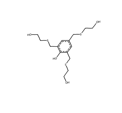 OCCSCc1cc(CSCCO)c(O)c(CSCCO)c1